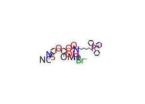 COc1cc(Oc2ccc3nc(C#N)sc3c2)cc(OCC(=O)NCCCCCC[P+](c2ccccc2)(c2ccccc2)c2ccccc2)c1O.[Br-]